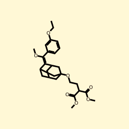 CCOc1cccc(C(OC)=C2C3CC4CC2CC(OCCC(C(=O)OC)C(=O)OC)(C4)C3)c1